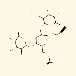 C#CCO[C@@H]1OC(COC(=O)C(C)(C)C)[C@@H](O[C@@H]2OC(C)[C@H](C)[C@H](C)C2C)[C@H](C)C1O[C@@H]1OC(C)[C@H](C)[C@H](C)C1OC(C)=O